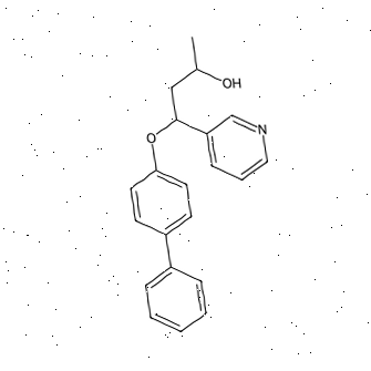 CC(O)CC(Oc1ccc(-c2ccccc2)cc1)c1cccnc1